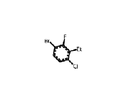 CCc1c(Cl)ccc(Br)c1F